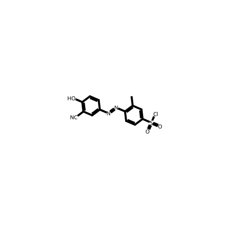 Cc1cc(S(=O)(=O)Cl)ccc1N=Nc1ccc(O)c(C#N)c1